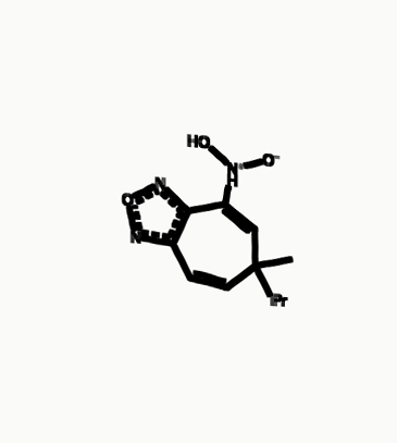 CC(C)C1(C)C=Cc2nonc2C([NH+]([O-])O)=C1